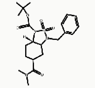 CN(C)C(=O)[C@H]1CC[C@H]2C(C1)N(Cc1ccccc1)S(=O)(=O)N2C(=O)OC(C)(C)C